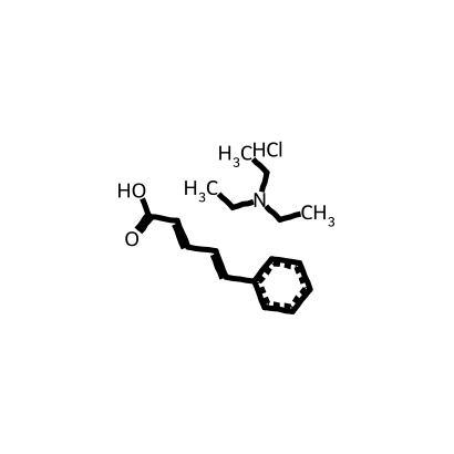 CCN(CC)CC.Cl.O=C(O)C=CC=Cc1ccccc1